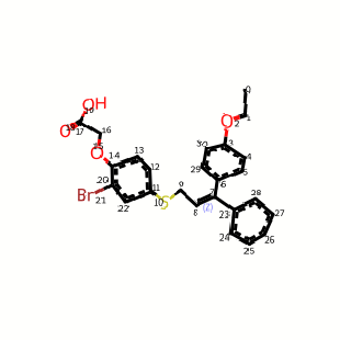 CCOc1ccc(/C(=C\CSc2ccc(OCC(=O)O)c(Br)c2)c2ccccc2)cc1